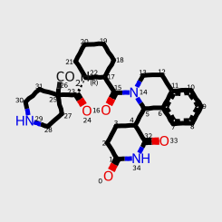 O=C1CCC(C2c3ccccc3CCN2C(=O)C2CCCC[C@H]2C(=O)C2(C(=O)O)CCNCC2)C(=O)N1